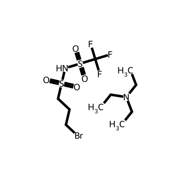 CCN(CC)CC.O=S(=O)(CCCBr)NS(=O)(=O)C(F)(F)F